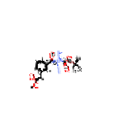 COC(=O)Cc1cccc(C(=O)NNC(=O)OC(C)(C)C)c1